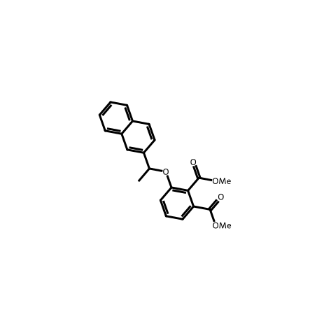 COC(=O)c1cccc(OC(C)c2ccc3ccccc3c2)c1C(=O)OC